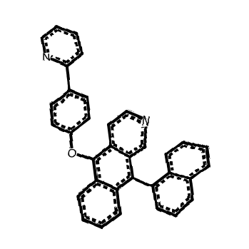 c1ccc(-c2ccc(Oc3c4ccccc4c(-c4cccc5ccccc45)c4cnccc34)cc2)nc1